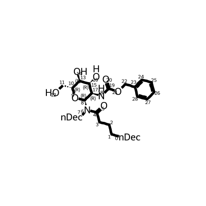 CCCCCCCCCCCCCC(=O)N(CCCCCCCCCC)[C@@H]1O[C@H](CO)[C@@H](O)[C@H](O)[C@H]1NC(=O)OCc1ccccc1